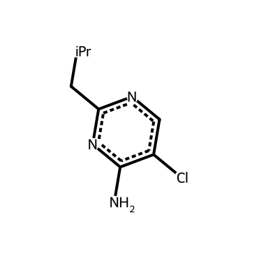 CC(C)Cc1ncc(Cl)c(N)n1